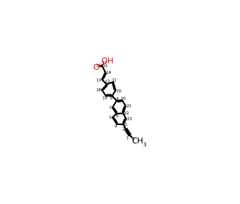 CC#Cc1ccc2cc(-c3ccc(/C=C/C(=O)O)cc3)ccc2c1